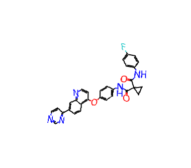 O=C(Nc1ccc(F)cc1)C1(C(=O)Nc2ccc(Oc3ccnc4cc(-c5ccncn5)ccc34)cc2)CC1